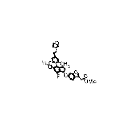 COC(=O)C[C@@H]1COc2cc(O[C@@H]3CCc4c(-c5c(C)cc(CC[C@@H]6CCOC6)cc5C)c(Cl)cc(F)c43)ccc21